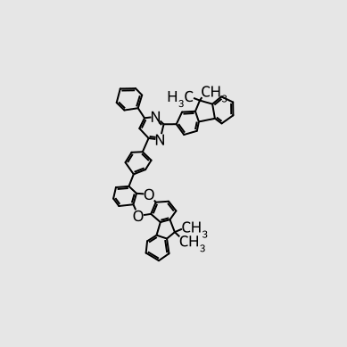 CC1(C)c2ccccc2-c2ccc(-c3nc(-c4ccccc4)cc(-c4ccc(-c5cccc6c5Oc5ccc7c(c5O6)-c5ccccc5C7(C)C)cc4)n3)cc21